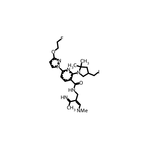 CN/C=C(/CNC(=O)c1ccc(-n2ccc(OCCF)n2)nc1N1CC(CI)CC1(C)C)C(C)=N